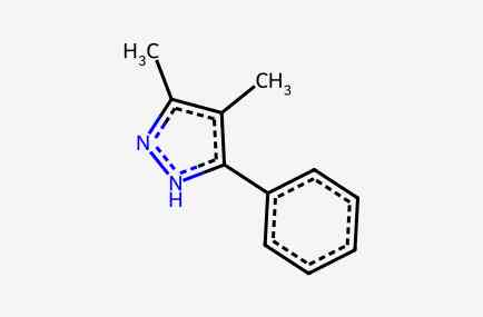 Cc1n[nH]c(-c2ccccc2)c1C